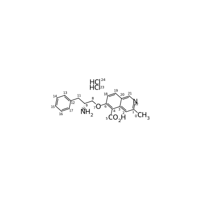 Cc1cc2c(C(=O)O)c(OC[C@H](N)Cc3ccccc3)ccc2cn1.Cl.Cl